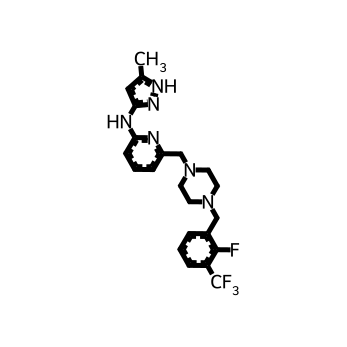 Cc1cc(Nc2cccc(CN3CCN(Cc4cccc(C(F)(F)F)c4F)CC3)n2)n[nH]1